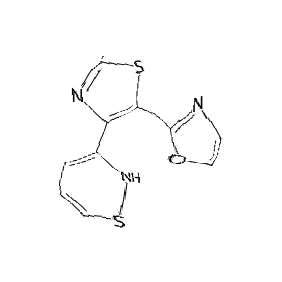 [c]1nc(C2=CC=CSN2)c(-c2ncco2)s1